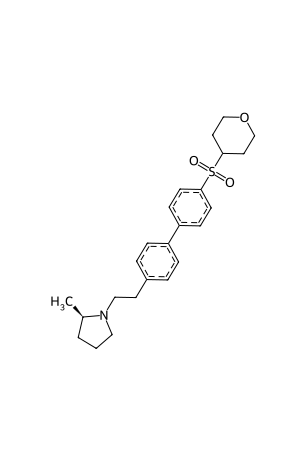 C[C@@H]1CCCN1CCc1ccc(-c2ccc(S(=O)(=O)C3CCOCC3)cc2)cc1